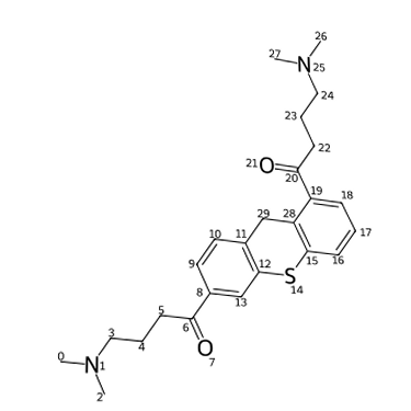 CN(C)CCCC(=O)c1ccc2c(c1)Sc1cccc(C(=O)CCCN(C)C)c1C2